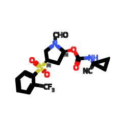 N#CC1(NC(=O)O[C@H]2C[C@@H](S(=O)(=O)c3ccccc3C(F)(F)F)CN2C=O)CC1